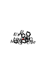 CCN(CC)c1ccc(C2(c3cc(Nc4ccccc4)c(OC)cc3OC)OC(=O)c3ccccc32)c(O)c1